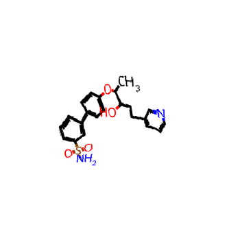 CC(Oc1ccc(-c2cccc(S(N)(=O)=O)c2)cc1)C(O)CCc1cccnc1